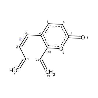 C=C/C=C\c1ccc(=O)oc1C=C